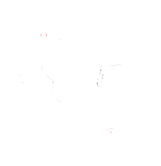 O=C(O)c1c(C(=O)O)c2ccc3cc(Br)ccc3n2c1C(=O)c1ccc(Cl)cc1